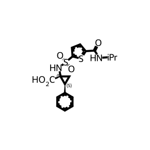 CC(C)NC(=O)c1ccc(S(=O)(=O)N[C@]2(C(=O)O)C[C@H]2c2ccccc2)s1